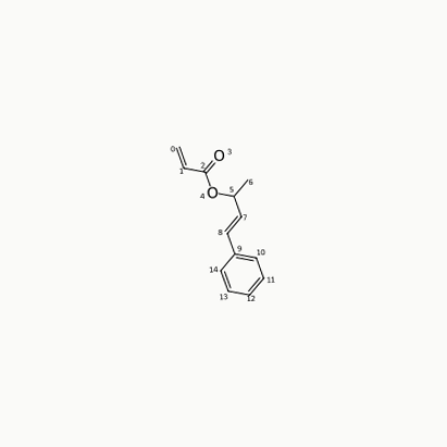 C=CC(=O)OC(C)C=Cc1ccccc1